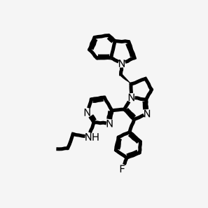 CCCNc1nccc(-c2c(-c3ccc(F)cc3)nc3n2[C@@H](Cn2ccc4ccccc42)CC3)n1